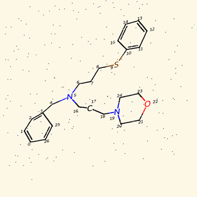 c1ccc(CN(CCCSc2ccccc2)CCCN2CCOCC2)cc1